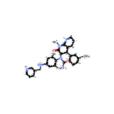 CCCCn1c(=O)c(N(C(N)=O)c2c(C(C)C)cc(NCc3cccnc3)cc2C(C)C)c(-c2cccc(OC)c2)c2cccnc21